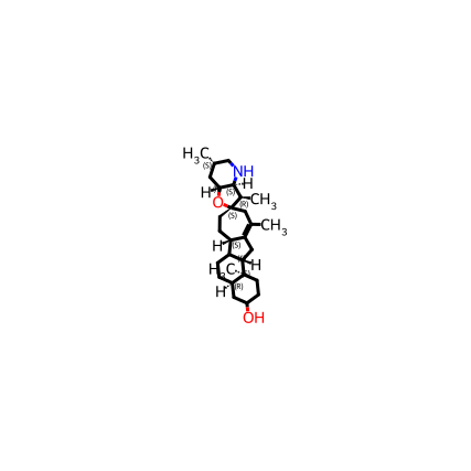 CC1=C2C[C@H]3C(CC[C@@H]4CC(O)CC[C@@]43C)[C@@H]2CC[C@@]2(C1)O[C@@H]1C[C@H](C)CN[C@H]1[C@H]2C